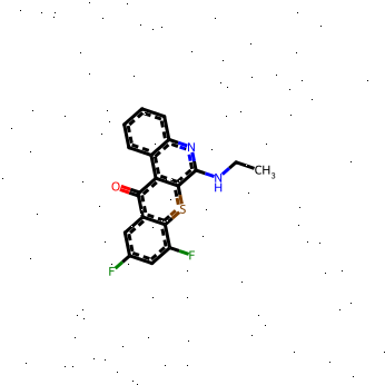 CCNc1nc2ccccc2c2c(=O)c3cc(F)cc(F)c3sc12